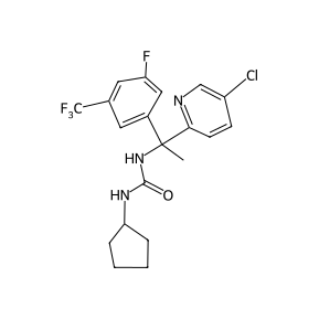 CC(NC(=O)NC1CCCC1)(c1cc(F)cc(C(F)(F)F)c1)c1ccc(Cl)cn1